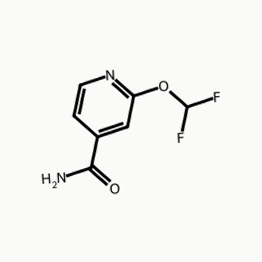 NC(=O)c1ccnc(OC(F)F)c1